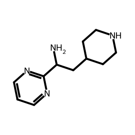 NC(CC1CCNCC1)c1ncccn1